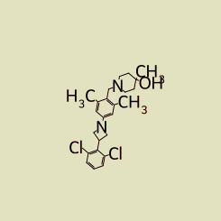 Cc1cc(N2CC(c3c(Cl)cccc3Cl)C2)cc(C)c1CN1CCC(C)(O)CC1